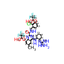 Cc1ccc2nc(C(=O)NCc3ccccc3Cl)nc(NC3CCCCC3NC(=N)N)c2c1.O=C(O)C(F)(F)F.O=C(O)C(F)(F)F